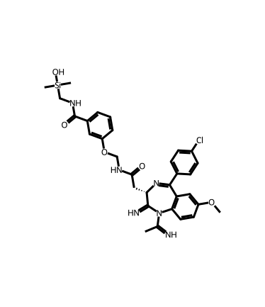 COc1ccc2c(c1)C(c1ccc(Cl)cc1)=N[C@@H](CC(=O)NCOc1cccc(C(=O)NC[Si](C)(C)O)c1)C(=N)N2C(C)=N